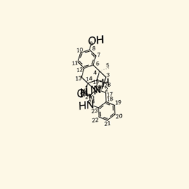 CN1CC[C@]2(C)c3cc(O)ccc3C[C@@H]1[C@H]2N1Cc2ccccc2NC1=O